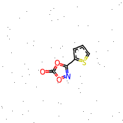 O=c1onc(-c2cccs2)o1